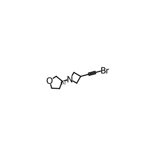 BrC#CC1CN([C@H]2CCOC2)C1